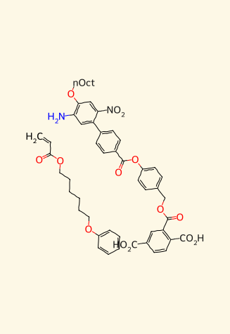 C=CC(=O)OCCCCCCOc1ccccc1.CCCCCCCCOc1cc([N+](=O)[O-])c(-c2ccc(C(=O)Oc3ccc(COC(=O)c4cc(C(=O)O)ccc4C(=O)O)cc3)cc2)cc1N